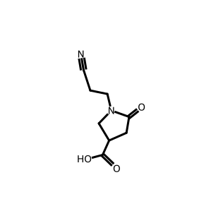 N#CCCN1CC(C(=O)O)CC1=O